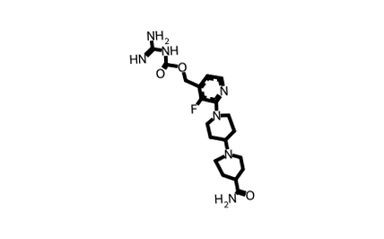 N=C(N)NC(=O)OCc1ccnc(N2CCC(N3CCC(C(N)=O)CC3)CC2)c1F